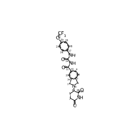 O=C1CCC(N2Cc3ccc(C(=O)NC(=O)Nc4ccc(OC(F)(F)F)cc4)cc3C2)C(=O)N1